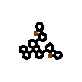 c1ccc2c(-c3c4cccc(-c5cccc6c5sc5ccccc56)c4cc4c(-c5cccc6c5sc5ccccc56)cccc34)cccc2c1